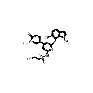 CCCS(=O)(=O)Nc1cc(-c2ccc(=O)n(C)c2)nc(Oc2c(Cl)ccc3ccn(C)c23)n1